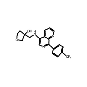 OC1(CNc2cnc(-c3ccc(C(F)(F)F)cc3)c3ncccc23)CCOC1